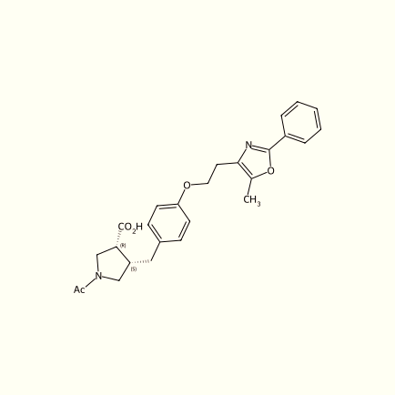 CC(=O)N1C[C@@H](Cc2ccc(OCCc3nc(-c4ccccc4)oc3C)cc2)[C@@H](C(=O)O)C1